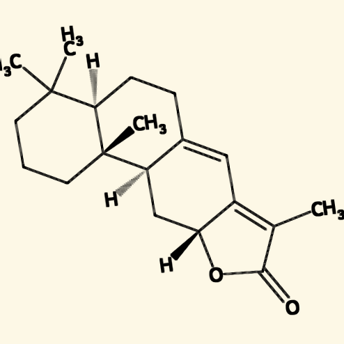 CC1=C2C=C3CC[C@@H]4C(C)(C)CCC[C@@]4(C)[C@@H]3C[C@H]2OC1=O